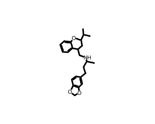 CC(CCc1ccc2c(c1)OCO2)NCC1CC(C(C)C)Oc2ccccc21